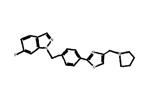 Fc1ccc2cnn(Cc3ccc(-c4nc(CN5CCCC5)co4)cc3)c2c1